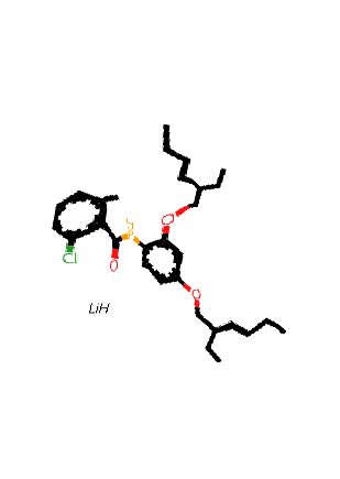 CCCCC(CC)COc1ccc(PC(=O)c2c(C)cccc2Cl)c(OCC(CC)CCCC)c1.[LiH]